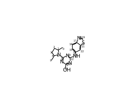 CC1CCC(C)N1c1nc(O)nc(Nc2ccc3ncsc3c2)n1